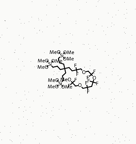 COC(F)(F)COCC(F)(F)CC(F)(F)OC(F)(F)COCC(F)(F)CCC(CCC[Si](OC)(OC)OC)(CCC[Si](OC)(OC)OC)CCC[Si](OC)(OC)OC